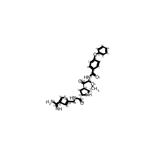 CO[C@H](NC(=O)c1ccc(Oc2ccccc2)cc1)C(=O)[C@H]1CN[C@H](C(=O)NCc2cc(C(=N)N)cs2)C1